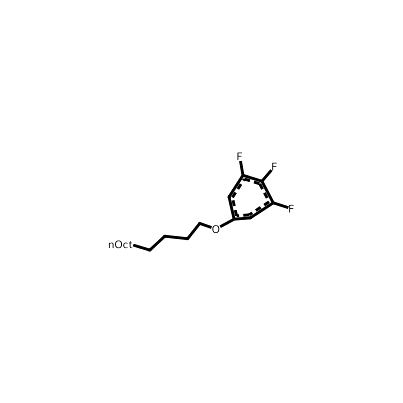 CCCCCCCCCCCCOc1cc(F)c(F)c(F)c1